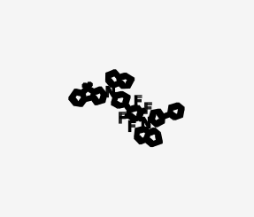 CC1(C)c2ccccc2-c2ccc(N(c3ccc(-c4c(F)c(F)c(N(c5ccc(-c6ccccc6)cc5)c5cccc6ccccc56)c(F)c4F)cc3)c3cccc4ccccc34)cc21